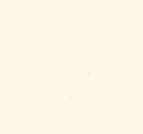 COc1cc(C#N)ccc1COc1nc(Br)ccc1F